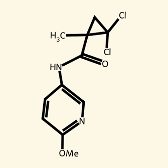 COc1ccc(NC(=O)C2(C)CC2(Cl)Cl)cn1